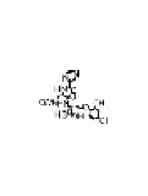 COCC(NC(=O)c1cnccn1)C(=O)N[C@H](CCOc1ccc(Cl)cc1C)B(O)O